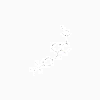 C=C(c1cnn(C)c1)n1ccnc(Nc2ccc(S(=O)(=O)NC)cc2)/c1=N/C